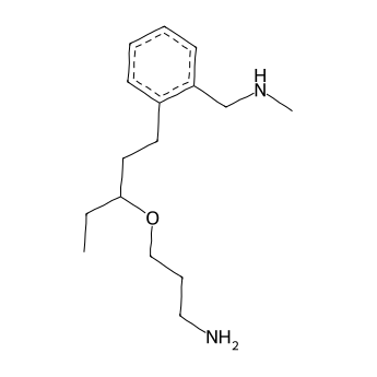 CCC(CCc1ccccc1CNC)OCCCN